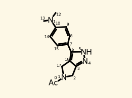 CC(=O)N1Cc2n[nH]c(-c3ccc(N(C)C)cc3)c2C1